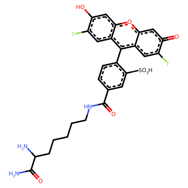 NC(=O)C(N)CCCCCNC(=O)c1ccc(-c2c3cc(F)c(=O)cc-3oc3cc(O)c(F)cc23)c(S(=O)(=O)O)c1